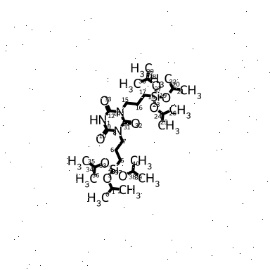 CC(C)O[Si](CCCn1c(=O)[nH]c(=O)n(CCC[Si](OC(C)C)(OC(C)C)OC(C)C)c1=O)(OC(C)C)OC(C)C